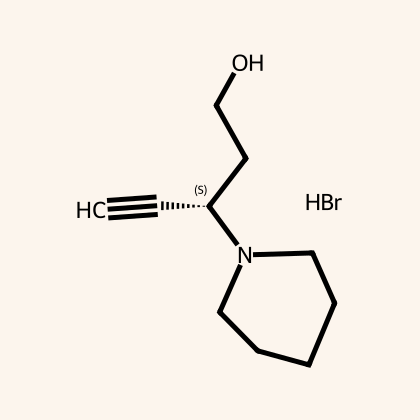 Br.C#C[C@H](CCO)N1CCCCC1